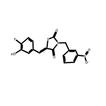 O=C1S/C(=C\c2ccc(F)c(O)c2)C(=O)N1Cc1cccc([N+](=O)[O-])c1